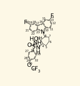 N=S(=O)(NC1CCCC(n2c3ccc(F)cc3c3cc(F)ccc32)C1O)c1ccc(OC(F)(F)F)cc1